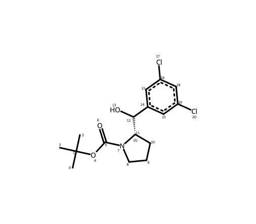 CC(C)(C)OC(=O)N1CCC[C@H]1C(O)c1cc(Cl)cc(Cl)c1